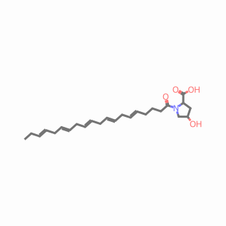 CC/C=C/C/C=C/C/C=C/C/C=C/C/C=C/CCCC(=O)N1CC(O)CC1C(=O)O